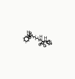 O=c1c(NCCCCCCS(=O)(=O)NC2CCCCCC2)c(Nc2ccncc2)c1=O